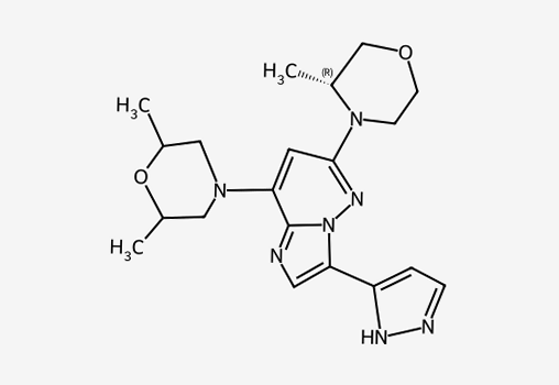 CC1CN(c2cc(N3CCOC[C@H]3C)nn3c(-c4ccn[nH]4)cnc23)CC(C)O1